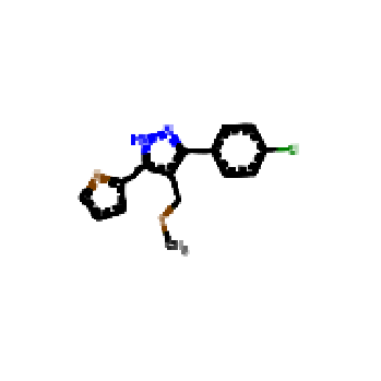 CSCc1c(-c2ccc(Cl)cc2)n[nH]c1-c1cccs1